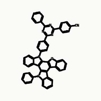 N#Cc1ccc(-c2nc(-c3ccccc3)nc(-c3ccc(-n4c5ccccc5c5c4c4oc6ccccc6c4c4c6ccccc6n(-c6ccccc6)c45)cc3)n2)cc1